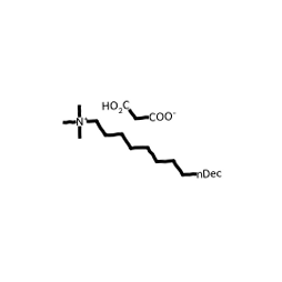 CCCCCCCCCCCCCCCCCC[N+](C)(C)C.O=C([O-])CC(=O)O